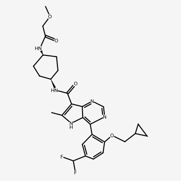 COCC(=O)N[C@H]1CC[C@@H](NC(=O)c2c(C)[nH]c3c(-c4cc(C(F)F)ccc4OCC4CC4)ncnc23)CC1